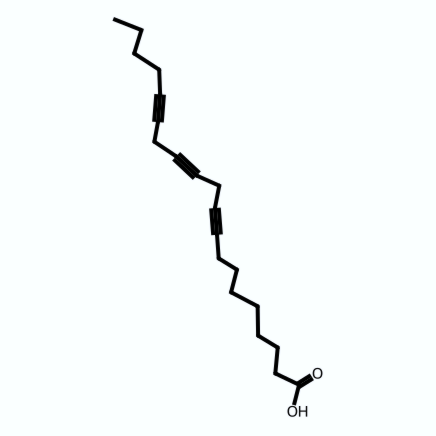 CCCCC#CCC#CCC#CCCCCCCCC(=O)O